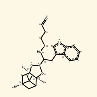 CC1(C)C2C[C@H]1C[C@H]1OB(C(Cc3coc4ccccc34)NSCCC=O)O[C@@]21C